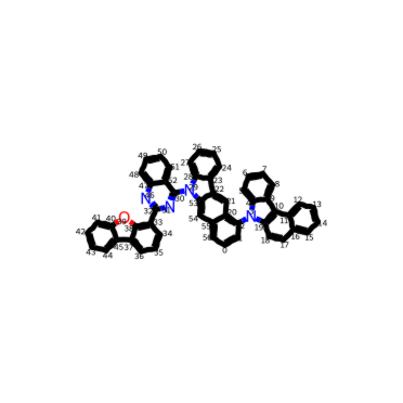 c1cc(-n2c3ccccc3c3c4ccccc4ccc32)c2cc3c4ccccc4n(-c4nc(-c5cccc6c5oc5ccccc56)nc5ccccc45)c3cc2c1